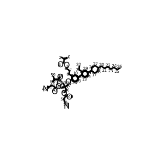 C=C(C)C(=O)OCCCc1cc(-c2ccc(C3CCC(CCCCCCC)CC3)cc2CC)ccc1OCC(COC(=O)CC#N)(COC(=O)CC#N)COC(=O)C(=C)C